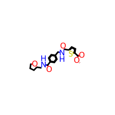 COC(=O)c1ccc(C(=O)NCc2ccc(C(=O)NCC3CCCO3)cc2)s1